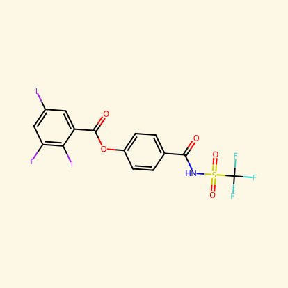 O=C(NS(=O)(=O)C(F)(F)F)c1ccc(OC(=O)c2cc(I)cc(I)c2I)cc1